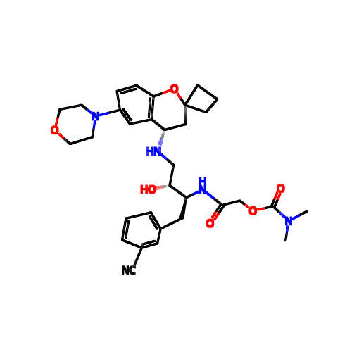 CN(C)C(=O)OCC(=O)N[C@@H](Cc1cccc(C#N)c1)[C@H](O)CN[C@H]1CC2(CCC2)Oc2ccc(N3CCOCC3)cc21